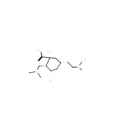 COC(=O)[C@@]1(N)C[C@H](CCB(O)O)CC[C@H]1CN(C)C.Cl.Cl